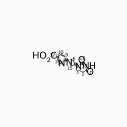 O=C1CCN(C2CN(c3ccc(C(=O)O)cn3)C2)C(=O)N1